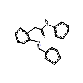 O=C(Cc1ccccc1/N=C/c1ccccc1)Nc1ccccc1